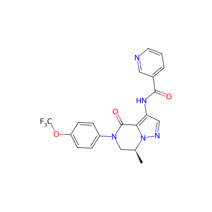 C[C@H]1CN(c2ccc(OC(F)(F)F)cc2)C(=O)c2c(NC(=O)c3cccnc3)cnn21